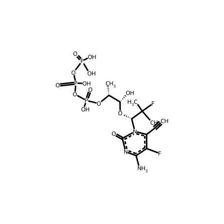 C#Cc1c(F)c(N)nc(=O)n1[C@H](O[C@@H](O)[C@@H](C)OP(=O)(O)OP(=O)(O)OP(=O)(O)O)C(C)(C)F